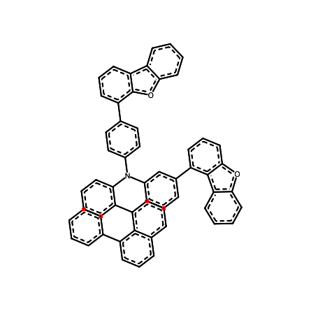 c1ccc(-c2cccc3cccc(-c4ccccc4N(c4ccc(-c5cccc6c5oc5ccccc56)cc4)c4cccc(-c5cccc6oc7ccccc7c56)c4)c23)cc1